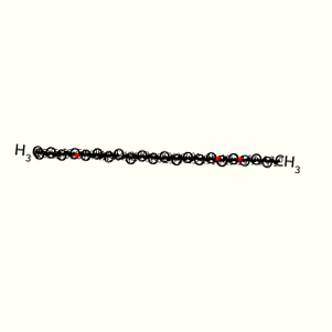 CCCOCCOCCOCCOCCOCCOCCOCCOCCOCCOCCOCCOCCOCCOCCOCCOCCOCCOCCOCCOCCOC